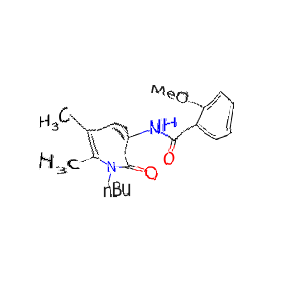 CCCCn1c(C)c(C)cc(NC(=O)c2ccccc2OC)c1=O